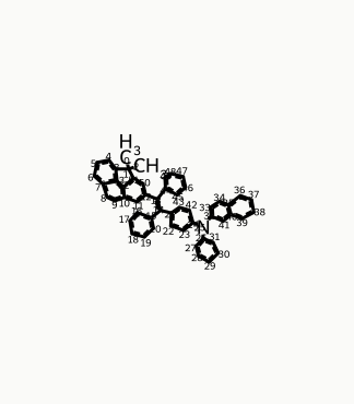 CC1(C)c2cccc3ccc4cc(/C(=C(\c5ccccc5)c5ccc(N(c6ccccc6)c6ccc7ccccc7c6)cc5)c5ccccc5)cc1c4c23